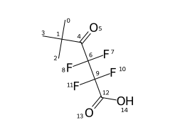 CC(C)(C)C(=O)C(F)(F)C(F)(F)C(=O)O